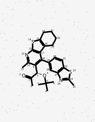 CC(=O)[C@@H](OC(C)(C)C)c1c(C)nc2sc3c(c2c1-c1ccc2sc(C)nc2c1)CCCC3